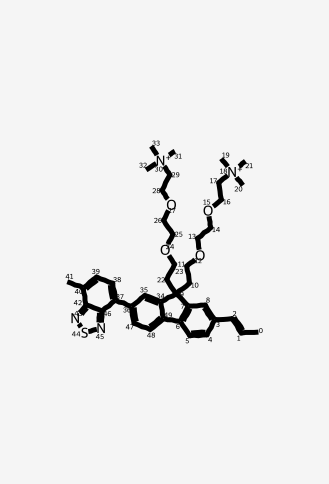 C/C=C/c1ccc2c(c1)C(CCOCCOCC[N+](C)(C)C)(CCOCCOCC[N+](C)(C)C)c1cc(-c3ccc(C)c4nsnc34)ccc1-2